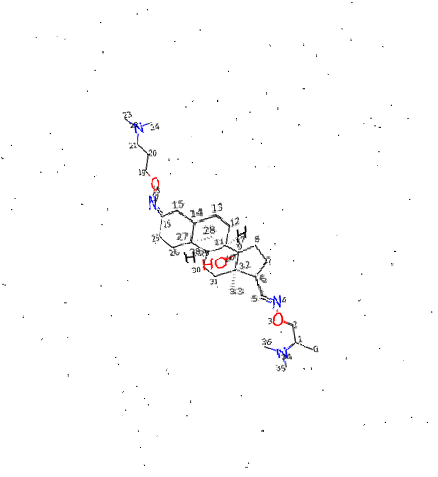 CC(CON=CC1CC[C@@]2(O)[C@@H]3CCC4CC(=NOCCCN(C)C)CC[C@]4(C)[C@@H]3CC[C@]12C)N(C)C